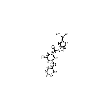 O=C(Nc1nc(C(F)F)cs1)c1cc(F)cc(Oc2cncnc2)c1